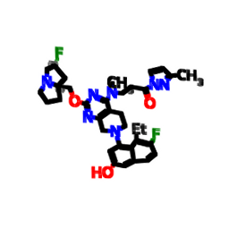 CCc1c(F)ccc2cc(O)cc(N3CCc4c(nc(OC[C@@]56CCCN5C[C@H](F)C6)nc4N(C)CCC(=O)n4ccc(C)n4)C3)c12